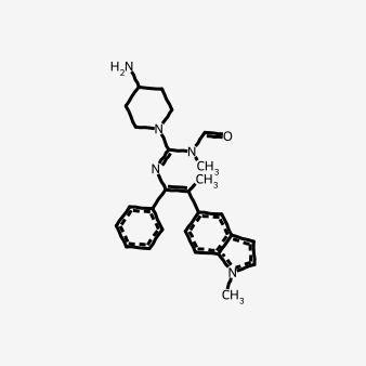 C/C(=C(\N=C(/N(C)C=O)N1CCC(N)CC1)c1ccccc1)c1ccc2c(ccn2C)c1